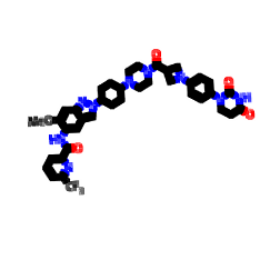 COc1cc2nn(C3CCC(N4CCN(C(=O)C5CN(c6ccc(N7CCC(=O)NC7=O)cc6)C5)CC4)CC3)cc2cc1NC(=O)c1cccc(C(F)(F)F)n1